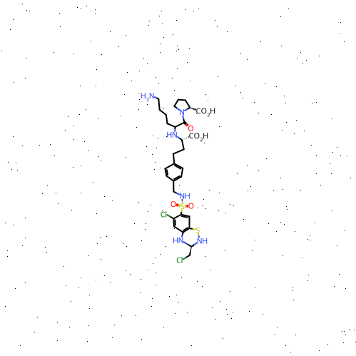 NCCCCC(N[C@@H](CCc1ccc(CNS(=O)(=O)c2cc3c(cc2Cl)N[C@H](CCl)NS3)cc1)C(=O)O)C(=O)N1CCC[C@H]1C(=O)O